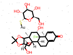 CC1(C)O[C@@H]2C[C@H]3[C@@H]4CCC5=CC(=O)C=C[C@]5(C)[C@@]4(F)[C@@H](O)C[C@]3(C)[C@]2(C(=O)CO)O1.OC[C@H]1O[C@H]([S][Au])[C@H](O)[C@@H](O)[C@@H]1O